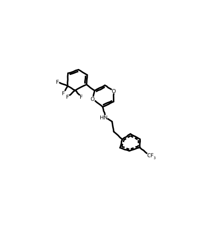 FC(F)(F)c1ccc(CCNC2=COC=C(C3=CC=CC(F)(F)C3(F)F)O2)cc1